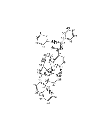 C1=CCC(c2cc(-c3ccc4c(c3)C3(C5=CC(c6cccc7cccnc67)CC=C5S4)c4ccccc4-c4ccccc43)nc(-c3ccccc3)n2)C=C1